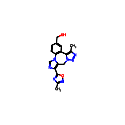 Cc1noc(-c2ncn3c2Cn2nnc(C)c2-c2cc(CO)ccc2-3)n1